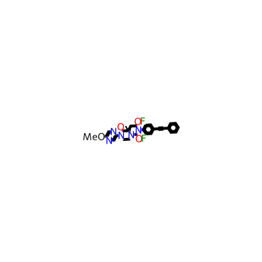 COc1cnc(N2CCN3C(=O)N(c4c(F)cc(C#Cc5ccccc5)cc4F)C(=O)C[C@@]3(C)C2=O)cn1